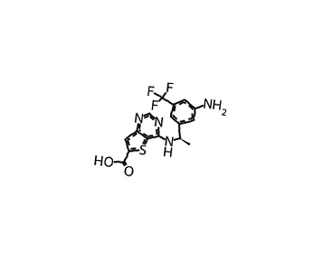 C[C@@H](Nc1ncnc2cc(C(=O)O)sc12)c1cc(N)cc(C(F)(F)F)c1